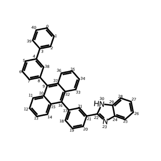 c1ccc(-c2cccc(-c3c4ccccc4c(-c4cccc(-c5nc6ccccc6[nH]5)c4)c4ccccc34)c2)cc1